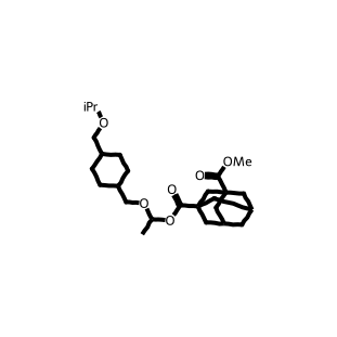 COC(=O)C12CC3CC(C1)CC(C(=O)OC(C)OCC1CCC(COC(C)C)CC1)(C3)C2